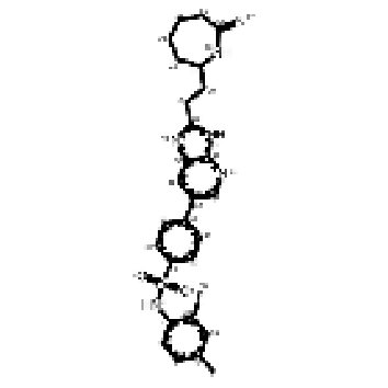 Cc1ccc(NS(=O)(=O)c2ccc(-c3cnc4[nH]c(CCC5CCCCC(=S)N5)nc4c3)cc2)c(F)c1